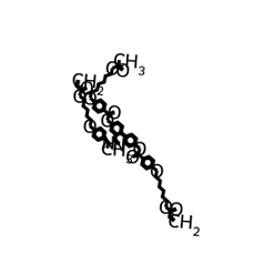 C=CC(=O)OCCCCCCOc1ccc(C(=O)Oc2ccc3c(c2)nc(N(C)c2ccc(OCCCCCOC(=O)C=C)cc2)c2cc(OC(=O)c4ccc(OCCCCCCOC(C)=O)cc4)ccc23)cc1